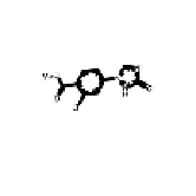 COC(=O)c1ccc(-n2cnc(=O)[nH]2)cc1Cl